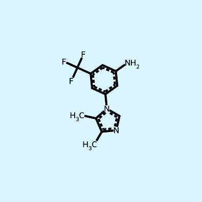 Cc1ncn(-c2cc(N)cc(C(F)(F)F)c2)c1C